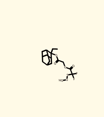 CCC1(OC(=O)COC(=O)C(F)(F)SOO)C2CC3CC(C2)CC1C3